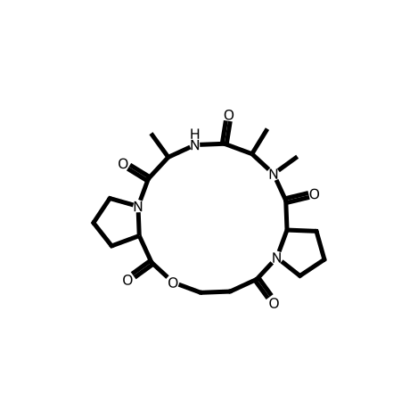 CC1NC(=O)C(C)N(C)C(=O)C2CCCN2C(=O)CCOC(=O)C2CCCN2C1=O